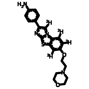 [2H]c1c(OCCN2CCOCC2)c([2H])c2sc3nc(-c4ccc(N)cc4)c([2H])n3c2c1[2H]